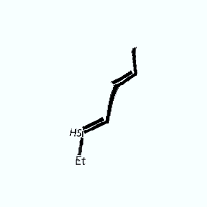 CC=CC=[SiH]CC